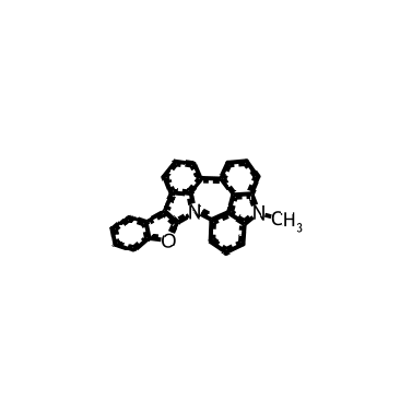 Cn1c2cccc3c4cccc5c6c7ccccc7oc6n(c6cccc1c6c32)c45